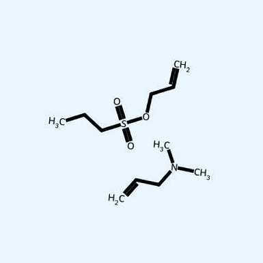 C=CCN(C)C.C=CCOS(=O)(=O)CCC